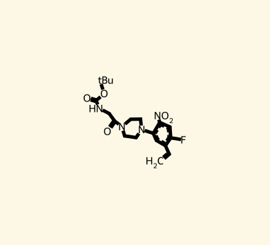 C=Cc1cc(N2CCN(C(=O)CNC(=O)OC(C)(C)C)CC2)c([N+](=O)[O-])cc1F